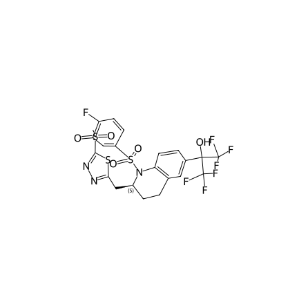 CS(=O)(=O)c1nnc(C[C@@H]2CCc3cc(C(O)(C(F)(F)F)C(F)(F)F)ccc3N2S(=O)(=O)c2ccc(F)cc2)s1